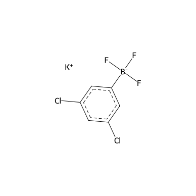 F[B-](F)(F)c1cc(Cl)cc(Cl)c1.[K+]